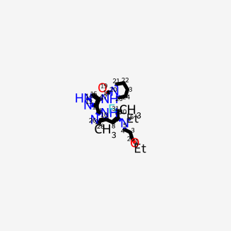 CCOCCCN(CC)/C(=C/c1[nH]c(-c2n[nH]cc2NC(=O)N2CCCCC2)nc1C)C(C)F